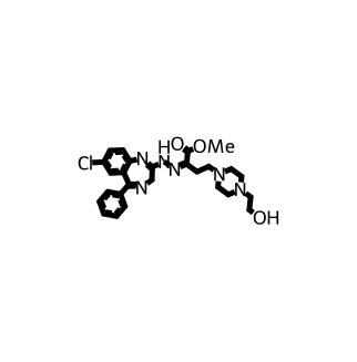 COC(=O)C(CCN1CCN(CCO)CC1)=NNC1=Nc2ccc(Cl)cc2C(c2ccccc2)=NC1